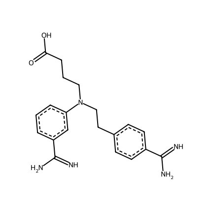 N=C(N)c1ccc(CCN(CCCC(=O)O)c2cccc(C(=N)N)c2)cc1